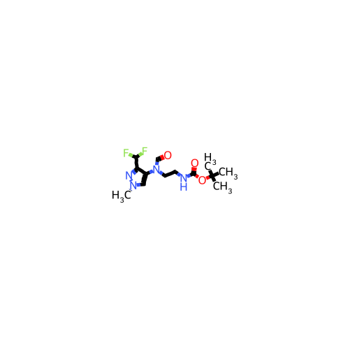 Cn1cc(N(C=O)CCNC(=O)OC(C)(C)C)c(C(F)F)n1